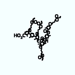 C=CC(=O)OCCCCOc1ccc(C(=O)O)c(C)c1-c1ccc(-c2c(OCCCCOC(=O)C=C)ccc(C(=O)O)c2C)c(C)c1.C=CC(=O)OCCCCOc1ccc(C(=O)Oc2ccc(OC(=O)c3cc(C)c(OCCCCOC(=O)C=C)cc3C)cc2C)c(C)c1